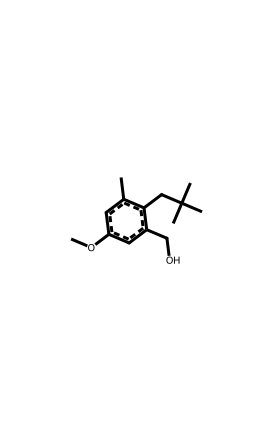 COc1cc(C)c(CC(C)(C)C)c(CO)c1